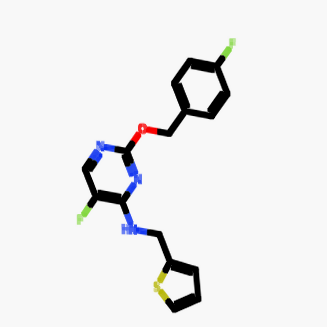 Fc1ccc(COc2ncc(F)c(NCc3cccs3)n2)cc1